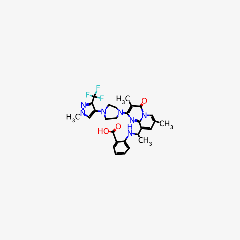 Cc1cc(C(C)Nc2ccccc2C(=O)O)c2nc(N3CCN(c4cn(C)nc4C(F)(F)F)CC3)c(C)c(=O)n2c1